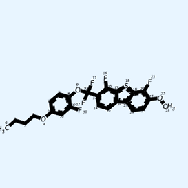 CCCCOc1ccc(OC(F)(F)c2ccc3c(sc4c(F)c(OC)ccc43)c2F)c(F)c1